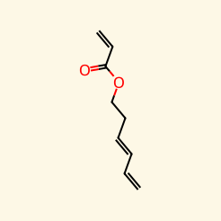 C=CC=CCCOC(=O)C=C